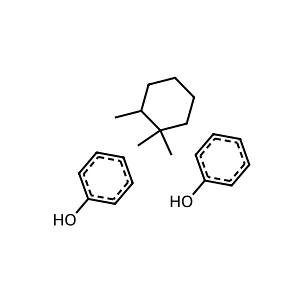 CC1CCCCC1(C)C.Oc1ccccc1.Oc1ccccc1